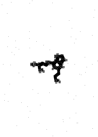 CCCc1nc(NCC=C(C)C)c2[nH]cnc2n1